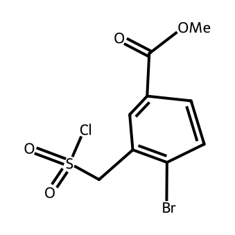 COC(=O)c1ccc(Br)c(CS(=O)(=O)Cl)c1